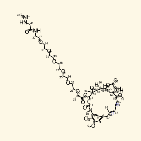 COc1cc2cc(c1Cl)N(C)C(=O)C[C@H](OC(=O)[C@H](C)OCCOCCOCCOCCOCCOCCNC(=O)CNNI)[C@]1(C)O[C@H]1[C@H](C)[C@@H]1C[C@@](O)(NC(=O)O1)[C@H](OC)/C=C/C=C(\C)C2